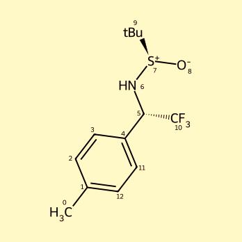 Cc1ccc([C@H](N[S@+]([O-])C(C)(C)C)C(F)(F)F)cc1